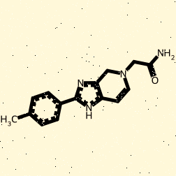 Cc1ccc(-c2nc3c([nH]2)C=CN(CC(N)=O)C3)cc1